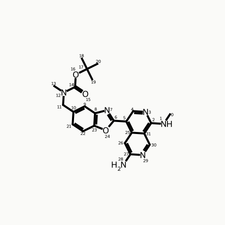 CNc1ncc(-c2nc3cc(CN(C)C(=O)OC(C)(C)C)ccc3o2)c2cc(N)ncc12